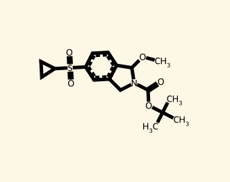 COC1c2ccc(S(=O)(=O)C3CC3)cc2CN1C(=O)OC(C)(C)C